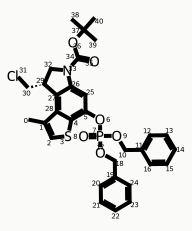 Cc1csc2c(OP(=O)(OCc3ccccc3)OCc3ccccc3)cc3c(c12)[C@H](CCl)CN3C(=O)OC(C)(C)C